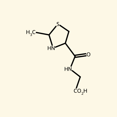 CC1NC(C(=O)NCC(=O)O)CS1